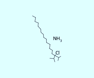 CCCCCCCCCCCCCCCC(Cl)(C(C)C)C(C)C.N